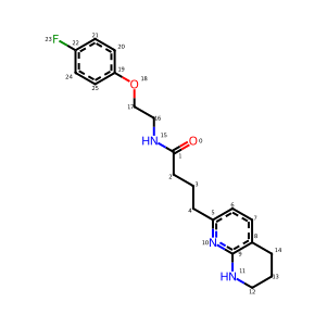 O=C(CCCc1ccc2c(n1)NCCC2)NCCOc1ccc(F)cc1